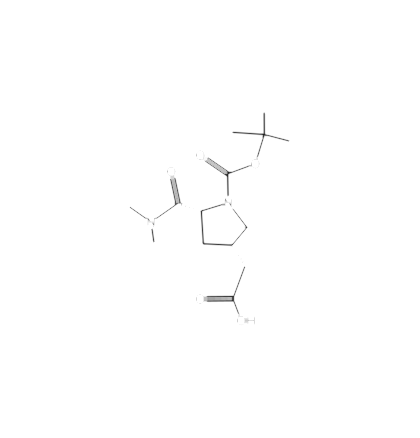 CN(C)C(=O)[C@H]1C[C@@H](CC(=O)O)CN1C(=O)OC(C)(C)C